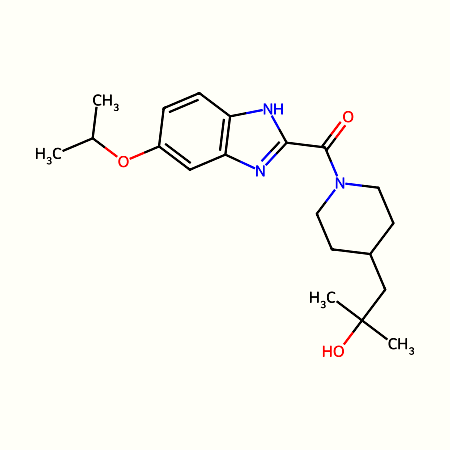 CC(C)Oc1ccc2[nH]c(C(=O)N3CCC(CC(C)(C)O)CC3)nc2c1